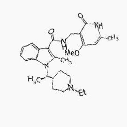 CCN1CCC([C@@H](C)n2c(C)c(C(=O)NCc3c(OC)cc(C)[nH]c3=O)c3ccccc32)CC1